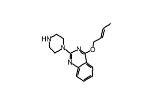 CC=CCOc1nc(N2CCNCC2)nc2ccccc12